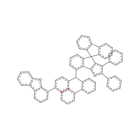 c1ccc(-c2ccccc2C(c2ccc(-c3cccc4c3oc3ccccc34)cc2)c2cccc3c2-c2oc(-c4ccccc4)c(-c4ccccc4)c2C32c3ccccc3-c3ccccc32)cc1